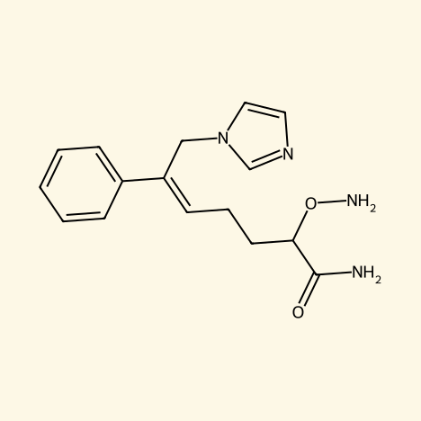 NOC(CCC=C(Cn1ccnc1)c1ccccc1)C(N)=O